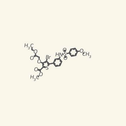 CCOC(=O)COc1c(C(=O)OC)sc(-c2cccc(NS(=O)(=O)c3ccc(OC)cc3)c2)c1Br